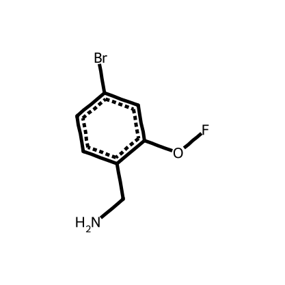 NCc1ccc(Br)cc1OF